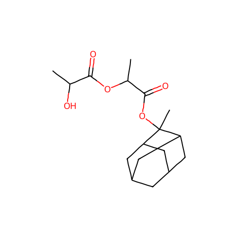 CC(O)C(=O)OC(C)C(=O)OC1(C)C2CC3CC(C2)CC1C3